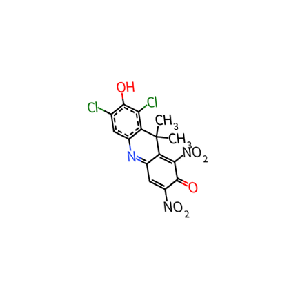 CC1(C)C2=C([N+](=O)[O-])C(=O)C([N+](=O)[O-])=CC2=Nc2cc(Cl)c(O)c(Cl)c21